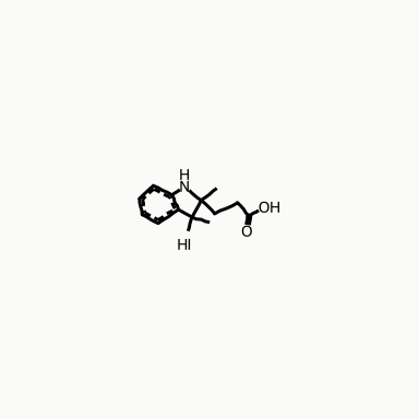 CC1(CCC(=O)O)Nc2ccccc2C1(C)C.I